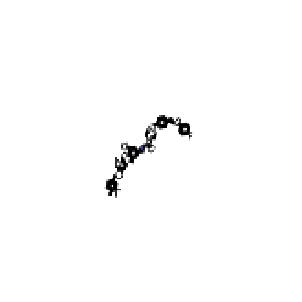 Cc1ccc(COc2ccc(Oc3c(C)cc(/C=C/C(=O)N4CCN(Cc5ccc(CCOc6ccc(F)cc6)cc5)CC4)cc3Cl)nc2)cc1F